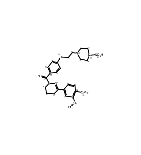 CCOc1cc(C2=NN(C(=O)c3ccc(OCCN4CCN(S(=O)(=O)O)CC4)cc3)CCC2)ccc1OC